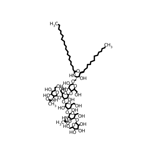 CCCCCCCCCCCCC/C=C/[C@@H](O)[C@H](CO[C@@H]1OC(CO)[C@@H](O[C@@H]2OC(CO)[C@H](O[C@@H]3OC(CO)[C@H](O)[C@H](O)C3NC(C)=O)[C@H](O[C@H]3OC(CO)[C@H](O)[C@H](O[C@@H]4OC(CO)[C@@H](O[C@@H]5OC(CO)[C@H](O)[C@H](O)C5O)[C@H](O)C4NC(C)=O)C3O)C2O)[C@H](O)C1O)NC(=O)CCCCCCCCCCCCCCCCCCC